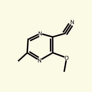 COc1nc(C)cnc1C#N